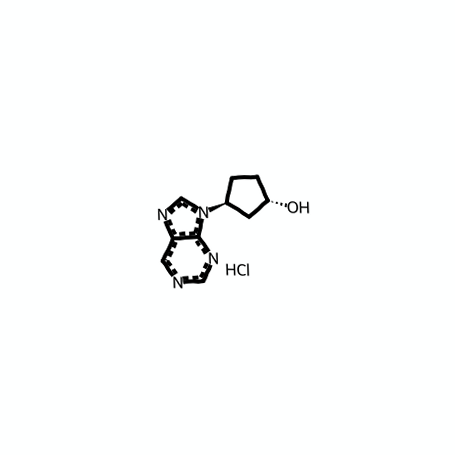 Cl.O[C@H]1CC[C@H](n2cnc3cncnc32)C1